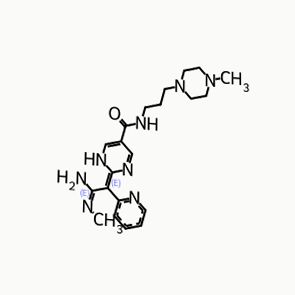 C/N=C(N)\C(=C1\N=CC(C(=O)NCCCN2CCN(C)CC2)=CN1)c1ccccn1